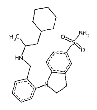 CC(CC1CCCCC1)NCc1ccccc1N1CCc2cc(S(N)(=O)=O)ccc21